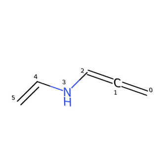 C=C=CNC=C